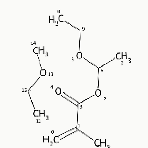 C=C(C)C(=O)OC(C)OCC.C[CH]OC